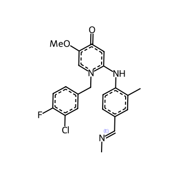 C/N=C/c1ccc(Nc2cc(=O)c(OC)cn2Cc2ccc(F)c(Cl)c2)c(C)c1